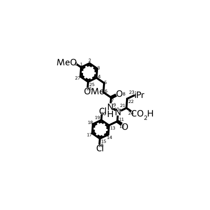 COc1ccc(CCC(=O)NN(C(=O)c2cc(Cl)ccc2Cl)C(CC(C)C)C(=O)O)c(OC)c1